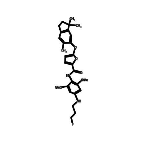 COc1cc(NCCCF)cc(OC)c1NC(=O)c1ccc(Oc2cc3c(cc2C)CCC3(C)C)o1